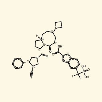 N#C[C@@H]1CN(C(=O)[C@@H]2CC[C@@H]3CC[C@@H](N4CCC4)C[C@H](NC(=O)c4cc5cc(C(F)(F)P(=O)(O)O)ccc5s4)C(=O)N32)C[C@H]1c1ccccc1